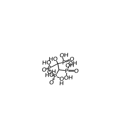 O=P(O)(O)C(C(O)(P(=O)(O)O)P(=O)(O)O)P(=O)(O)O